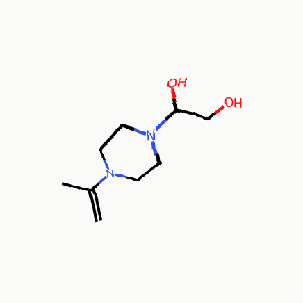 C=C(C)N1CCN(C(O)CO)CC1